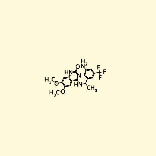 COc1cc2[nH]c(=O)nc(NC(C)c3cc(N)cc(C(F)(F)F)c3)c2cc1OC